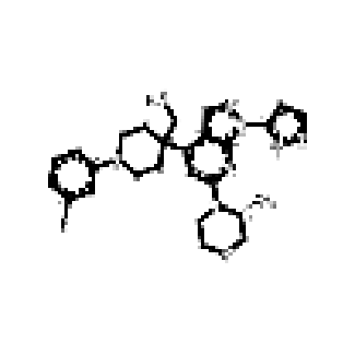 C[C@@H]1COCCN1c1cc(C2(CN)CCN(c3cccc(F)c3)CC2)c2cnn(-c3ccn[nH]3)c2n1